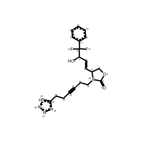 O=C1OCC(/C=C/C(O)C(F)(F)c2ccccc2)N1CCC#CCCc1nnn[nH]1